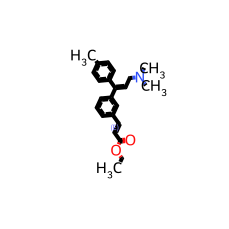 CCOC(=O)/C=C/c1cccc(C(=CCN(C)C)c2ccc(C)cc2)c1